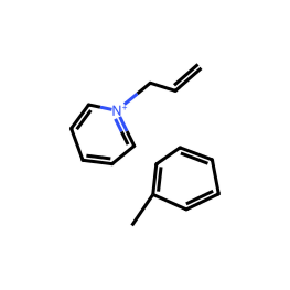 C=CC[n+]1ccccc1.Cc1ccccc1